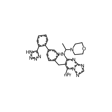 CCCc1c(Cc2ccc(-c3ccccc3-c3nnn[nH]3)cc2)c(NC(C)N2CCOCC2)nc2ncnn12